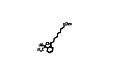 CCCCCCCCCCCCCCCCCCc1ccccc1[C](C)(C)[Al]